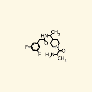 CC(NC(=O)Cc1cc(F)cc(F)c1)C1CCN(C(=O)[C@H](C)N)CC1